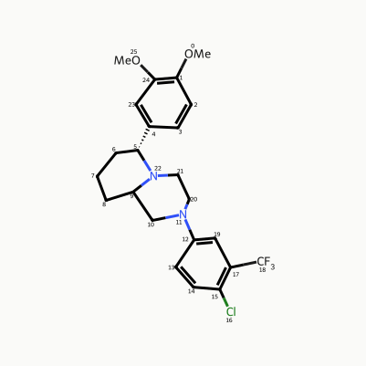 COc1ccc([C@H]2CCCC3CN(c4ccc(Cl)c(C(F)(F)F)c4)CCN32)cc1OC